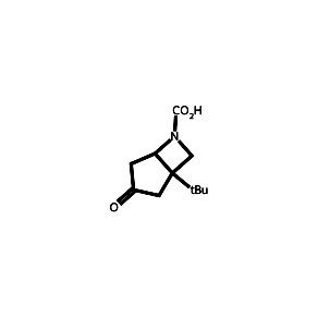 CC(C)(C)C12CC(=O)CC1N(C(=O)O)C2